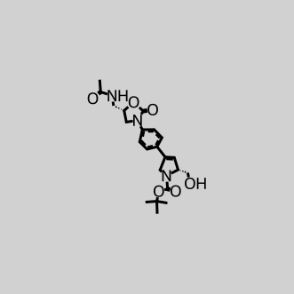 CC(=O)NC[C@H]1CN(c2ccc(C3=C[C@H](CO)N(C(=O)OC(C)(C)C)C3)cc2)C(=O)O1